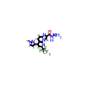 Cn1ccc(-c2cc(C(F)(F)C(F)(F)F)nc3c2ccc2nc(C(=O)NN)cn23)n1